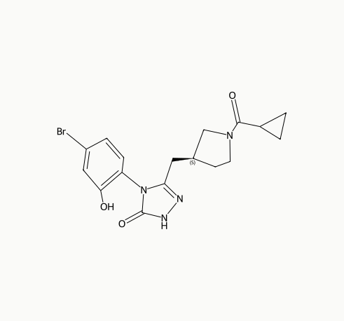 O=C(C1CC1)N1CC[C@@H](Cc2n[nH]c(=O)n2-c2ccc(Br)cc2O)C1